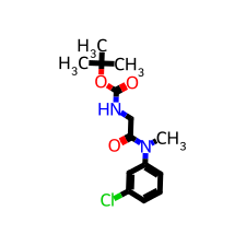 CN(C(=O)CNC(=O)OC(C)(C)C)c1cccc(Cl)c1